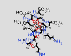 CC(C)C[C@H](NC(=O)[C@H](CCCCN)NC(=O)[C@H](C)N)C(=O)N[C@@H](CCCCN)C(=O)N[C@@H](CCC(=O)O)C(=O)N[C@@H](CCC(=O)O)C(=O)N[C@@H](CC(=O)O)C(=O)N[C@@H](CC(=O)O)C(=O)O